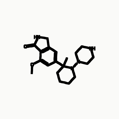 COc1cc(C2(C)CCCCN2N2CCNCC2)cc2c1C(=O)NC2